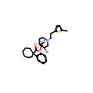 Cc1ccc(CC[N+]23CCC(CC2)[C@@H](OC(=O)C2(c4ccccc4)CCCCCC2)C3)s1